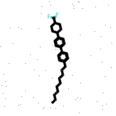 CCCCCCCCCCc1ccc(-c2ccc(C3CCC(C(F)F)CC3)cc2)cc1